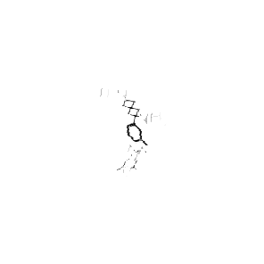 CC1CN(c2ncc3cc(C4(N)CC5(CC(N)C5)C4)ccc3n2)CC(C)O1